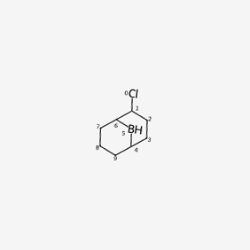 ClC1CCC2BC1CCC2